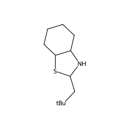 CC(C)(C)CC1NC2CCCCC2S1